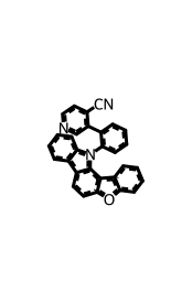 N#Cc1ccncc1-c1ccccc1-n1c2ccccc2c2ccc3oc4ccccc4c3c21